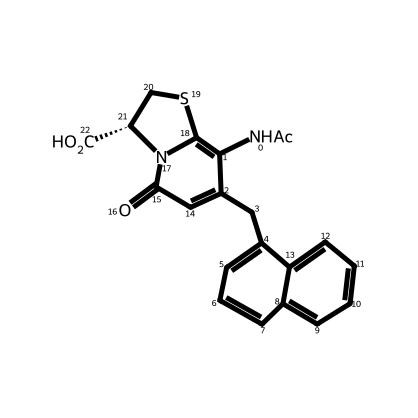 CC(=O)Nc1c(Cc2cccc3ccccc23)cc(=O)n2c1SC[C@H]2C(=O)O